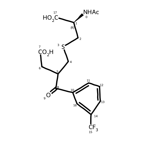 CC(=O)N[C@@H](CSCC(CC(=O)O)C(=O)c1cccc(C(F)(F)F)c1)C(=O)O